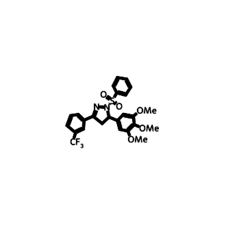 COc1cc(C2CC(c3cccc(C(F)(F)F)c3)=NN2S(=O)(=O)c2ccccc2)cc(OC)c1OC